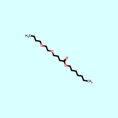 CCCCCCCOC(=O)CCCOCCOCCCC